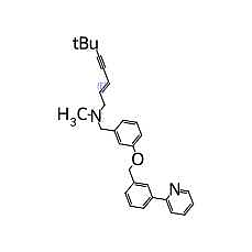 CN(C/C=C/C#CC(C)(C)C)Cc1cccc(OCc2cccc(-c3ccccn3)c2)c1